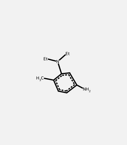 CCN(CC)c1cc(N)ccc1C